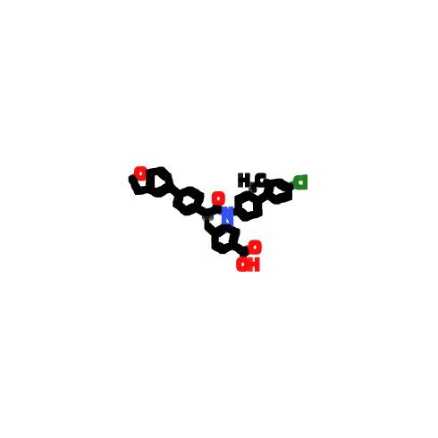 Cc1cc(Cl)ccc1-c1ccc(NC(=O)[C@H](Cc2ccc(C(=O)O)cc2)c2ccc(-c3ccc4c(c3)CCO4)cc2)cc1